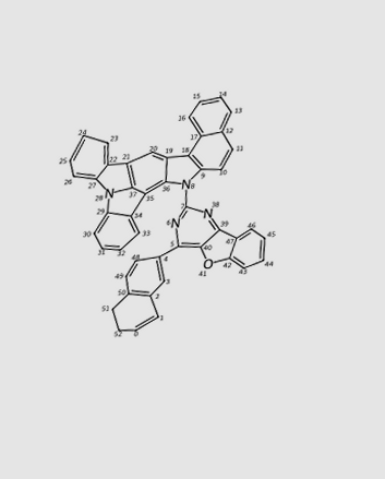 C1=Cc2cc(-c3nc(-n4c5ccc6ccccc6c5c5cc6c7ccccc7n7c8ccccc8c(c54)c67)nc4c3oc3ccccc34)ccc2CC1